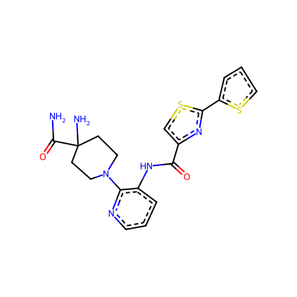 NC(=O)C1(N)CCN(c2ncccc2NC(=O)c2csc(-c3cccs3)n2)CC1